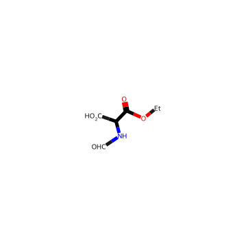 CCOC(=O)C(NC=O)C(=O)O